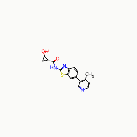 Cc1ccncc1-c1ccc2nc(NC(=O)[C@@H]3C[C@H]3O)sc2c1